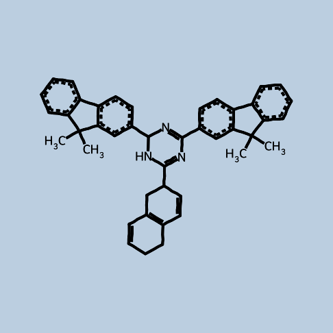 CC1(C)c2ccccc2-c2ccc(C3=NC(c4ccc5c(c4)C(C)(C)c4ccccc4-5)NC(C4C=CC5=C(C=CCC5)C4)=N3)cc21